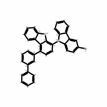 Brc1ccc2c(c1)c1ccccc1n2-c1ccc(-c2cccc(-c3ccccc3)c2)c2c1oc1ccccc12